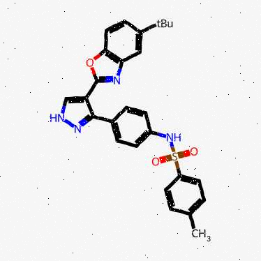 Cc1ccc(S(=O)(=O)Nc2ccc(-c3n[nH]cc3-c3nc4cc(C(C)(C)C)ccc4o3)cc2)cc1